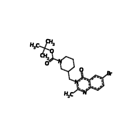 Cc1nc2ccc(Br)cc2c(=O)n1CC1CCCN(C(=O)OC(C)(C)C)C1